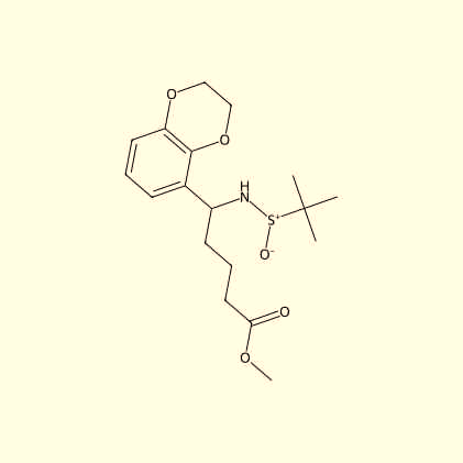 COC(=O)CCCC(N[S+]([O-])C(C)(C)C)c1cccc2c1OCCO2